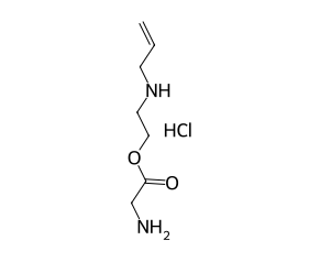 C=CCNCCOC(=O)CN.Cl